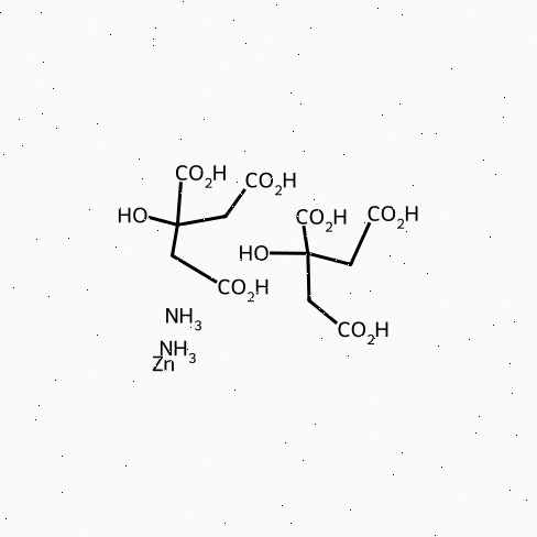 N.N.O=C(O)CC(O)(CC(=O)O)C(=O)O.O=C(O)CC(O)(CC(=O)O)C(=O)O.[Zn]